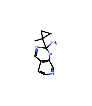 CC1(C2(N)N=Cc3ccncc3N2)CC1